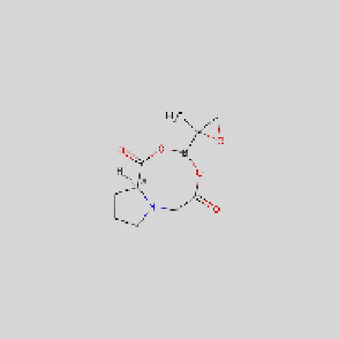 CC1(B2OC(=O)CN3CCC[C@H]3C(=O)O2)CO1